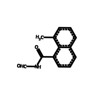 Cc1cccc2cccc(C(=O)NC=O)c12